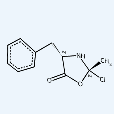 C[C@]1(Cl)N[C@@H](Cc2ccccc2)C(=O)O1